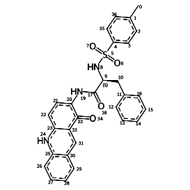 Cc1ccc(S(=O)(=O)N[C@@H](Cc2ccccc2)C(=O)Nc2ccc3[nH]c4ccccc4cc-3c2=O)cc1